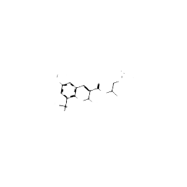 [2H]C([2H])([2H])c1cc(OC(F)(F)F)cc2c1OC(C(F)(F)F)C(C(=O)OC(C)CO[N+](=O)[O-])=C2